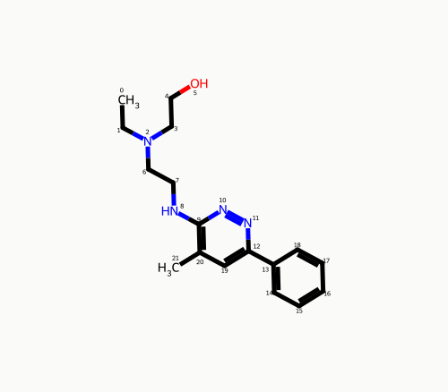 CCN(CCO)CCNc1nnc(-c2ccccc2)cc1C